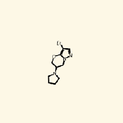 CCc1cnn2c1OCC(N1CCCC1)C2